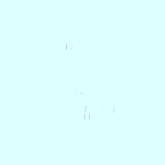 CCC(Br)(CC)CO[PH](=O)O